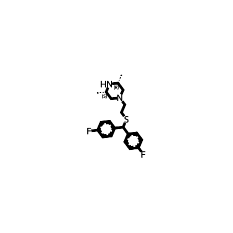 C[C@@H]1CN(CCSC(c2ccc(F)cc2)c2ccc(F)cc2)C[C@H](C)N1